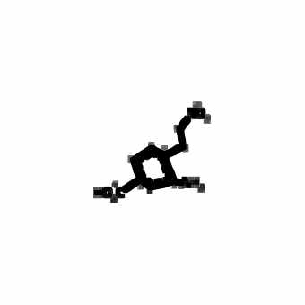 Nc1cc(C(=O)O)ccc1CC[N+](=O)[O-]